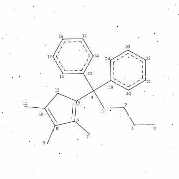 CCCCC(C1=C(C)C(C)=C(C)C1)(c1ccccc1)c1ccccc1